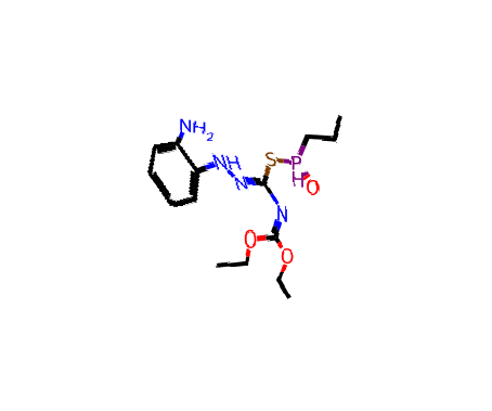 CCC[PH](=O)SC(N=C(OCC)OCC)=NNc1ccccc1N